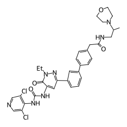 CCn1nc(-c2cccc(-c3ccc(CC(=O)NCC(C)N4CCOCC4)cc3)c2)cc(NC(=O)Nc2c(Cl)cncc2Cl)c1=O